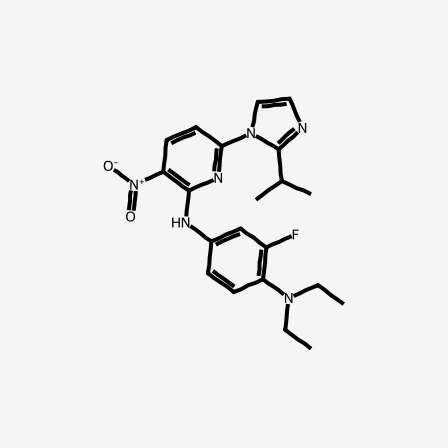 CCN(CC)c1ccc(Nc2nc(-n3ccnc3C(C)C)ccc2[N+](=O)[O-])cc1F